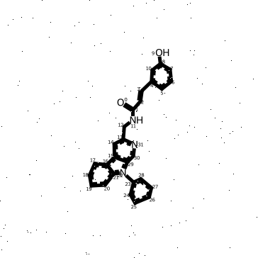 O=C(/C=C/c1cccc(O)c1)NCc1cc2c3ccccc3n(-c3ccccc3)c2cn1